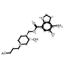 CC(=O)CCCN1CC[C@@H](COC(=O)c2cc(Cl)c(N)c3c2OCC3)[C@H](O)C1